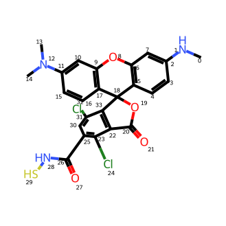 CNc1ccc2c(c1)Oc1cc(N(C)C)ccc1C21OC(=O)c2c(Cl)c(C(=O)NS)cc(Cl)c21